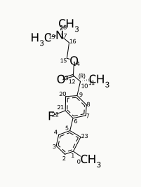 Cc1cccc(-c2ccc([C@@H](C)C(=O)OCCN(C)C)cc2F)c1